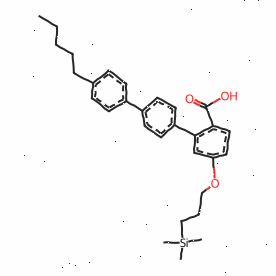 CCCCCc1ccc(-c2ccc(-c3cc(OCCC[Si](C)(C)C)ccc3C(=O)O)cc2)cc1